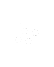 CO.F.c1ccc(-c2cccc(-c3ccccc3)c2-c2ccccc2)cc1